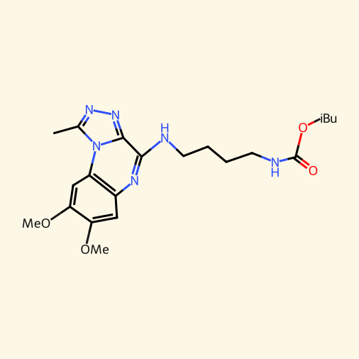 CCC(C)OC(=O)NCCCCNc1nc2cc(OC)c(OC)cc2n2c(C)nnc12